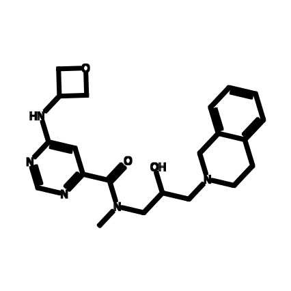 CN(CC(O)CN1CCc2ccccc2C1)C(=O)c1cc(NC2COC2)ncn1